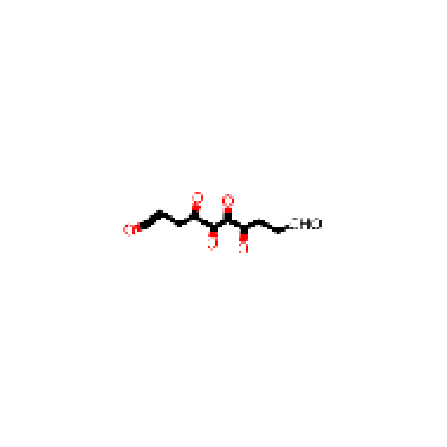 O=C=CCC(=O)C(=O)C(=O)C(=O)CCC=O